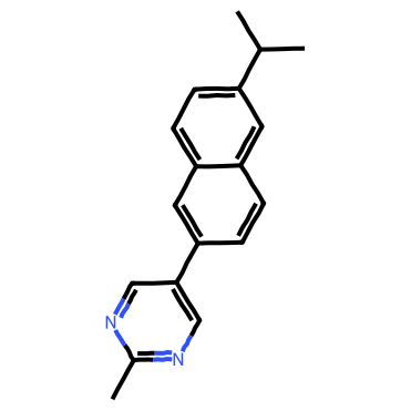 Cc1ncc(-c2ccc3cc(C(C)C)ccc3c2)cn1